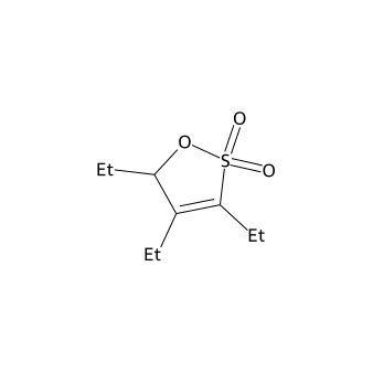 CCC1=C(CC)S(=O)(=O)OC1CC